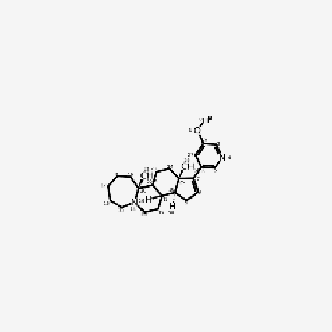 CCCOc1cncc(C2=CC[C@H]3[C@@H]4CCN5CCCCC[C@]5(C)C4CC[C@]23C)c1